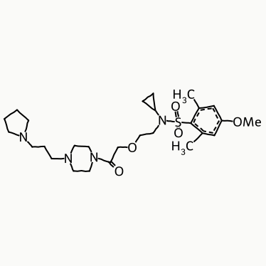 COc1cc(C)c(S(=O)(=O)N(CCOCC(=O)N2CCN(CCCN3CCCC3)CC2)C2CC2)c(C)c1